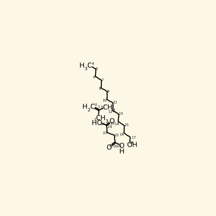 C=C(C)C.CCCCCCCCCCCCCCO.O=C(O)CCC(=O)O